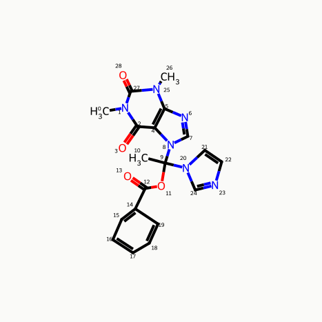 Cn1c(=O)c2c(ncn2C(C)(OC(=O)c2ccccc2)n2ccnc2)n(C)c1=O